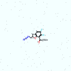 COC(=O)c1c(F)c(F)cc2c1OC(CN=[N+]=[N-])C2